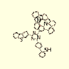 Sc1ccccc1-c1ccc(-c2nc(-c3cc(-c4ccccc4)c(-n4c5ccccc5c5ccc6c7ccccc7n(-c7ccccc7)c6c54)c(-c4ccccc4)c3)nc(-c3ccc4c(c3)sc3ccccc34)n2)cc1